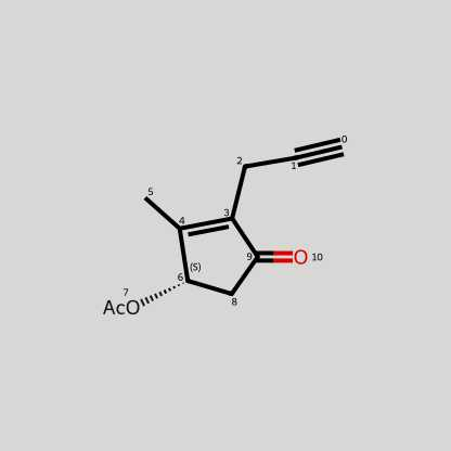 C#CCC1=C(C)[C@@H](OC(C)=O)CC1=O